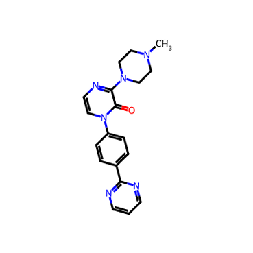 CN1CCN(c2nccn(-c3ccc(-c4ncccn4)cc3)c2=O)CC1